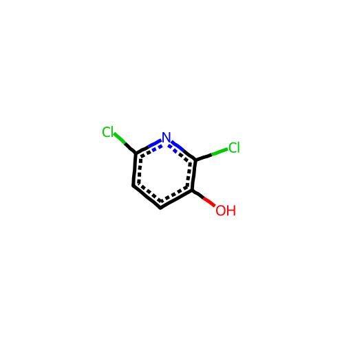 Oc1ccc(Cl)nc1Cl